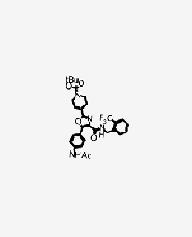 CC(=O)Nc1ccc(-c2oc(C3CCN(C(=O)OC(C)(C)C)CC3)nc2C(=O)NCc2ccccc2C(F)(F)F)cc1